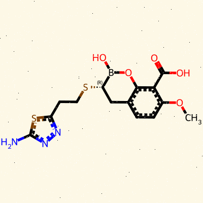 COc1ccc2c(c1C(=O)O)OB(O)[C@@H](SCCc1nnc(N)s1)C2